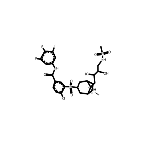 C[C@H]1CC2CC(S(=O)(=O)c3cc(C(=O)Nc4cc(F)c(F)c(F)c4)ccc3Cl)CC1[C@@]2(O)CC(O)C(O)CNS(C)(=O)=O